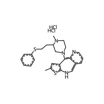 Cc1cc2c(s1)NC=c1cccnc1=C2N1CCN(C)C(CCSc2ccccc2)C1.Cl.Cl